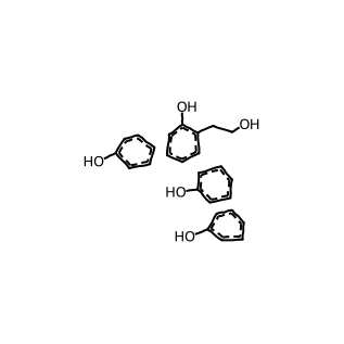 OCCc1ccccc1O.Oc1ccccc1.Oc1ccccc1.Oc1ccccc1